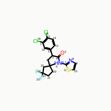 CC1(CC(C(=O)Nc2nccs2)c2ccc(Cl)c(Cl)c2)CCC(F)(F)C1